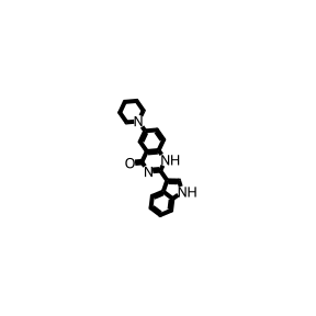 O=c1nc(-c2c[nH]c3ccccc23)[nH]c2ccc(N3CCCCC3)cc12